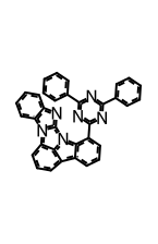 c1ccc(-c2nc(-c3ccccc3)nc(-c3cccc4c5cccc6c5n(c34)c3nc4ccccc4n63)n2)cc1